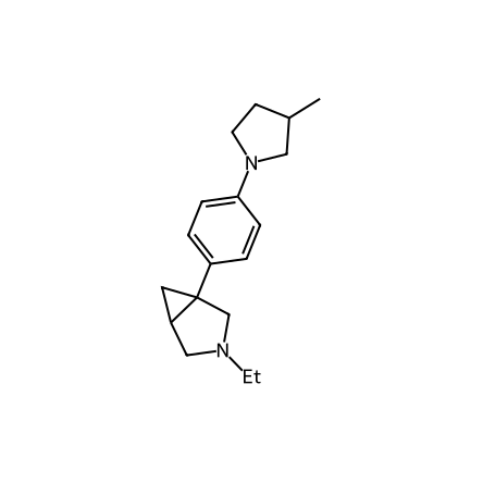 CCN1CC2CC2(c2ccc(N3CCC(C)C3)cc2)C1